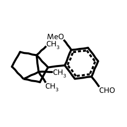 COc1ccc(C=O)cc1C1CC2CCC1(C)C2(C)C